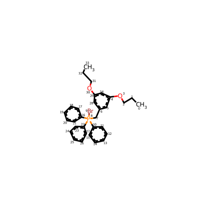 CCCOc1cc(CP(Br)(c2ccccc2)(c2ccccc2)c2ccccc2)cc(OCCC)c1